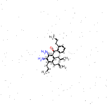 C=CCc1ccccc1C(=O)c1c(N)c(N)c(CC=C)c(CC=C)c1CC=C